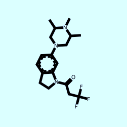 CC1CN(c2ccc3c(c2)N(C(=O)CC(F)(F)F)CC3)CC(C)N1C